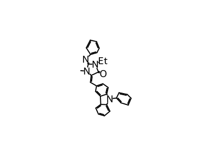 CCN1C(=O)/C(=C\c2ccc3c(c2)c2ccccc2n3-c2ccccc2)N(C)C1=Nc1ccccc1